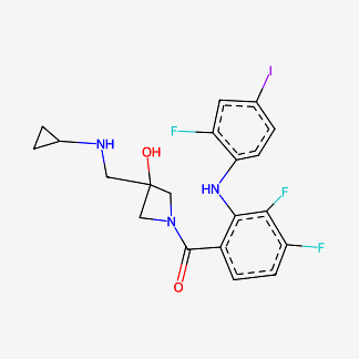 O=C(c1ccc(F)c(F)c1Nc1ccc(I)cc1F)N1CC(O)(CNC2CC2)C1